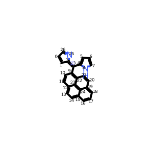 C1=C/C(=C(/c2ccc[nH]2)c2ccc3ccc4cccc5ccc2c3c45)N=C1